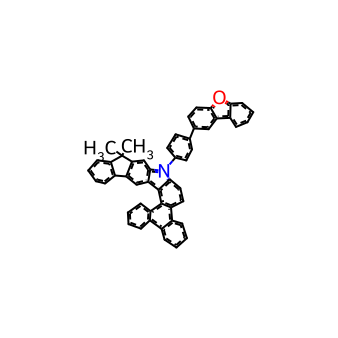 CC1(C)c2ccccc2-c2cc3c4c5c6ccccc6c6ccccc6c5ccc4n(-c4ccc(-c5ccc6oc7ccccc7c6c5)cc4)c3cc21